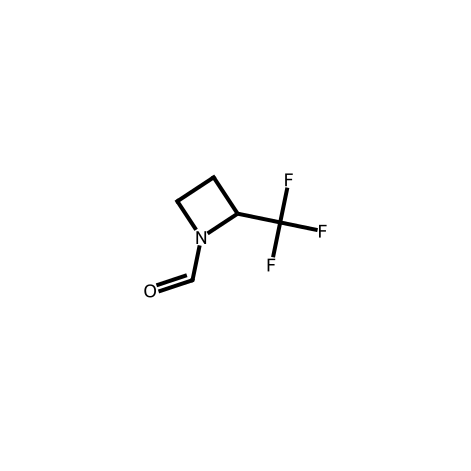 O=CN1CCC1C(F)(F)F